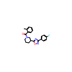 Cc1ccccc1C(=O)N1CCCC(c2nc(-c3ccc(F)cc3)no2)C1